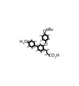 CCCCOc1ccc(Oc2cc(-c3ccc(C)cc3)ccc2CCC(=O)O)cc1